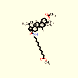 C=C(C)[C@@H]1CC[C@]2(C(=O)NCCCCCCCCCCC(=O)OC)CC[C@]3(C)[C@H](CCC4[C@@]5(C)CC[C@H](OC(C)=O)C(C)(C)[C@@H]5CC[C@]43C)[C@@H]12